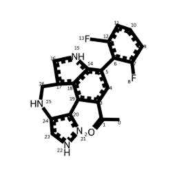 CC(=O)c1cc(-c2c(F)cccc2F)c2[nH]cc3c2c1-c1n[nH]cc1NC3